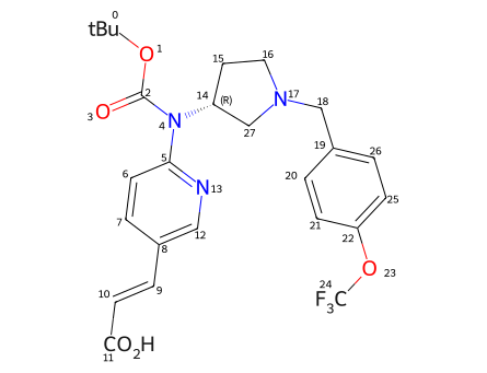 CC(C)(C)OC(=O)N(c1ccc(C=CC(=O)O)cn1)[C@@H]1CCN(Cc2ccc(OC(F)(F)F)cc2)C1